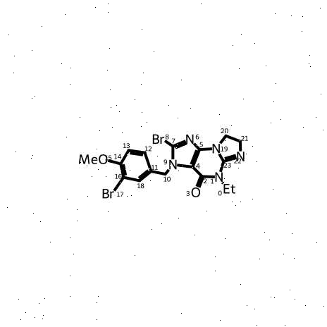 CCN1C(=O)c2c(nc(Br)n2Cc2ccc(OC)c(Br)c2)N2CCN=C12